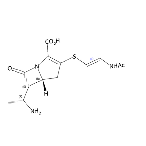 CC(=O)N/C=C/SC1=C(C(=O)O)N2C(=O)[C@@H]([C@@H](C)N)[C@H]2C1